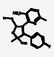 CCON1OC(C)(C=O)C(c2ccc(F)cc2)=C1c1nc(C)ncc1S(=O)(=O)O